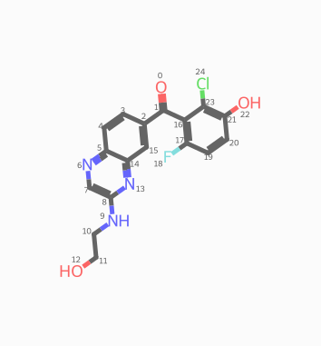 O=C(c1ccc2ncc(NCCO)nc2c1)c1c(F)ccc(O)c1Cl